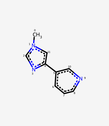 Cn1[c]nc(-c2cccnc2)c1